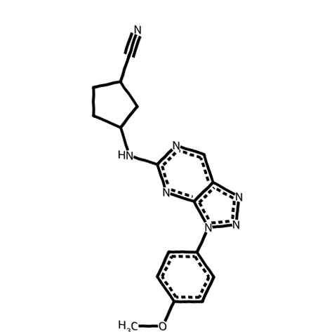 COc1ccc(-n2nnc3cnc(NC4CCC(C#N)C4)nc32)cc1